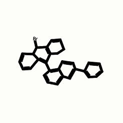 BrC1C2=C(CCC=C2)C(c2cccc3cc(-c4ccccc4)ccc23)=C2C=CC=CC21